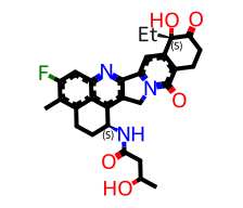 CC[C@@]1(O)C(=O)CCc2c1cc1n(c2=O)Cc2c-1nc1cc(F)c(C)c3c1c2[C@@H](NC(=O)CC(C)O)CC3